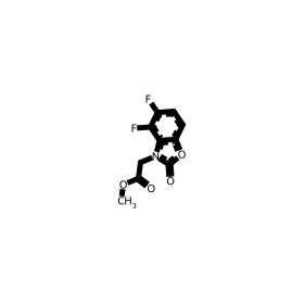 COC(=O)Cn1c(=O)oc2ccc(F)c(F)c21